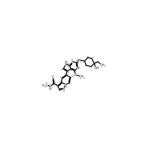 CCC1(O)CCC(Nc2nc(OC)c3c(-c4ccn5ncc(C(=O)NC)c5c4)c[nH]c3n2)CC1